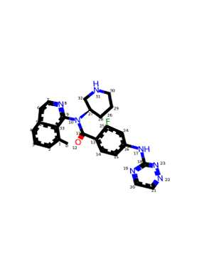 Cc1cccc2ccnc(N(C(=O)c3ccc(Nc4nccnn4)cc3F)[C@@H]3CCCNC3)c12